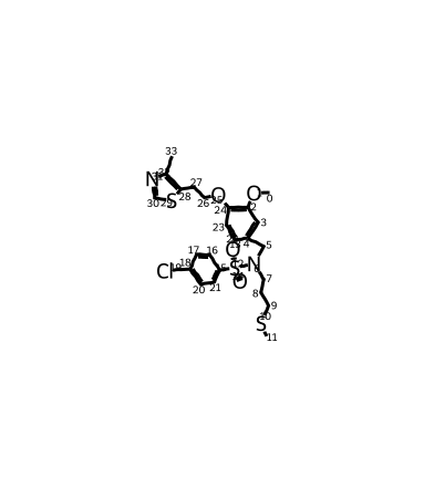 COc1cc(CN(CCCSC)S(=O)(=O)c2ccc(Cl)cc2)ccc1OCCc1scnc1C